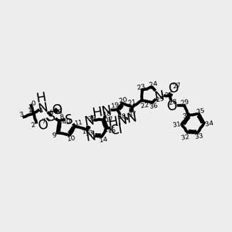 CC(C)(C)NS(=O)(=O)c1ccc(-c2ncc(Cl)c(Nc3cc(C4CCN(C(=O)OCc5ccccc5)C4)n[nH]3)n2)s1